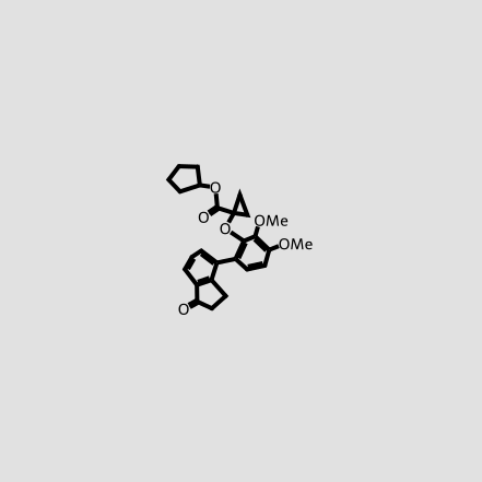 COc1ccc(-c2cccc3c2CCC3=O)c(OC2(C(=O)OC3CCCC3)CC2)c1OC